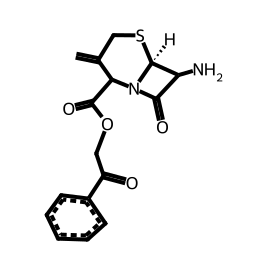 C=C1CS[C@H]2C(N)C(=O)N2C1C(=O)OCC(=O)c1ccccc1